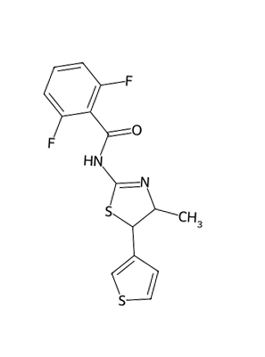 CC1N=C(NC(=O)c2c(F)cccc2F)SC1c1ccsc1